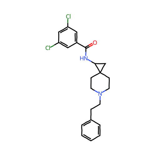 O=C(NC1CC12CCN(CCc1ccccc1)CC2)c1cc(Cl)cc(Cl)c1